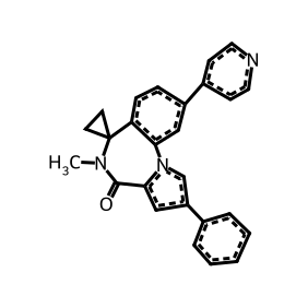 CN1C(=O)c2cc(-c3ccccc3)cn2-c2cc(-c3ccncc3)ccc2C12CC2